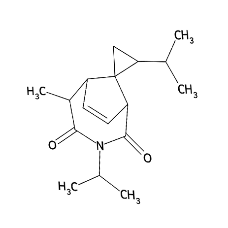 CC(C)C1CC12C1C=CC2C(C)C(=O)N(C(C)C)C1=O